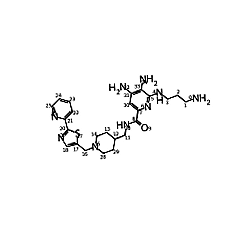 NCCCNc1nc(C(=O)NCC2CCN(Cc3cnc(-c4ccccn4)s3)CC2)cc(N)c1N